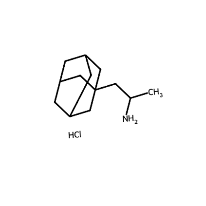 CC(N)CC12CC3CC(CC(C3)C1)C2.Cl